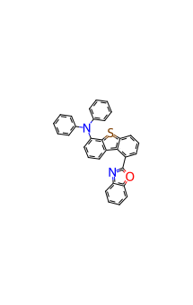 c1ccc(N(c2ccccc2)c2cccc3c2sc2cccc(-c4nc5ccccc5o4)c23)cc1